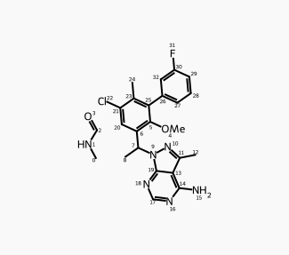 CNC=O.COc1c(C(C)n2nc(C)c3c(N)ncnc32)cc(Cl)c(C)c1-c1cccc(F)c1